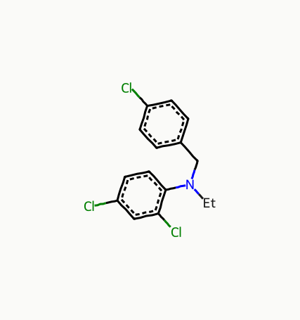 CCN(Cc1ccc(Cl)cc1)c1ccc(Cl)cc1Cl